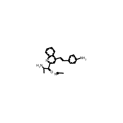 CC#N.CC(N)C(=O)c1cc(C=Cc2ccc(N)cc2)c2ccccc2n1